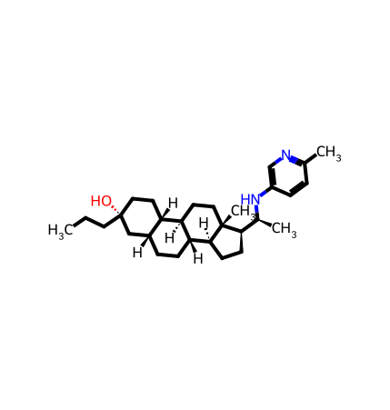 CCC[C@@]1(O)CC[C@H]2[C@H](CC[C@@H]3[C@@H]2CC[C@]2(C)[C@@H]([C@H](C)Nc4ccc(C)nc4)CC[C@@H]32)C1